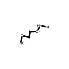 O=NOCCONO